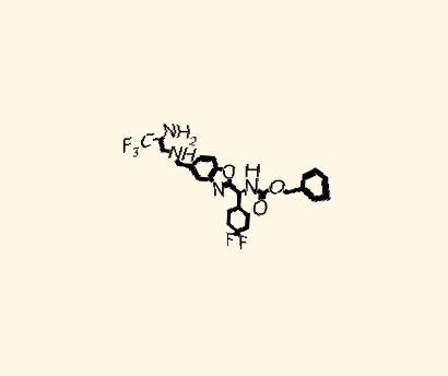 N[C@@H](CNCc1ccc2oc([C@@H](NC(=O)OCc3ccccc3)C3CCC(F)(F)CC3)nc2c1)C(F)(F)F